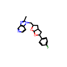 Cc1nc2cnccc2n1CC1CC2CC(c3ccc(F)cc3)OC2O1